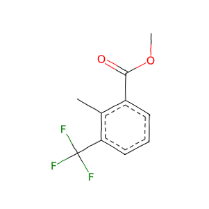 COC(=O)c1cccc(C(F)(F)F)c1C